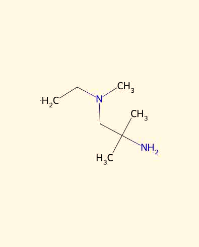 [CH2]CN(C)CC(C)(C)N